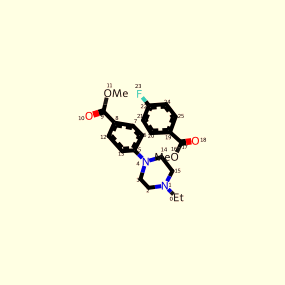 CCN1CCN(c2ccc(C(=O)OC)cc2)CC1.COC(=O)c1ccc(F)cc1